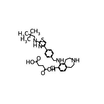 CC(C)(C)CNc1nc(-c2ccc(CNc3c(Cl)ccc4c3CCNCC4)cc2)cs1.O=C(O)CCC(=O)O